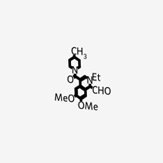 CCN1C=C(C(=O)N2CCC(C)CC2)c2cc(OC)c(OC)cc2C1C=O